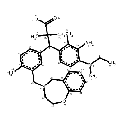 CCN(N)c1ccc(C(c2ccc(C)c(CN3CCOc4ccncc4C3)c2)C(C)(C)C(=O)O)c(C)c1N